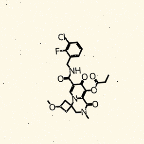 CCC(=O)Oc1c2n(cc(C(=O)NCc3cccc(Cl)c3F)c1=O)C1(CC(OC)C1)CN(C)C2=O